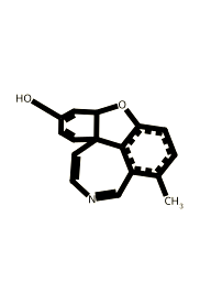 Cc1ccc2c3c1C=NC=CC31C=CC(O)=CC1O2